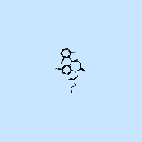 CCOC(=O)CN1C(=S)CN=C(c2c(F)cccc2F)c2cc(F)ccc21